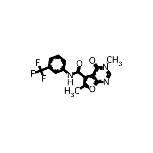 Cc1oc2ncn(C)c(=O)c2c1C(=O)Nc1cccc(C(F)(F)F)c1